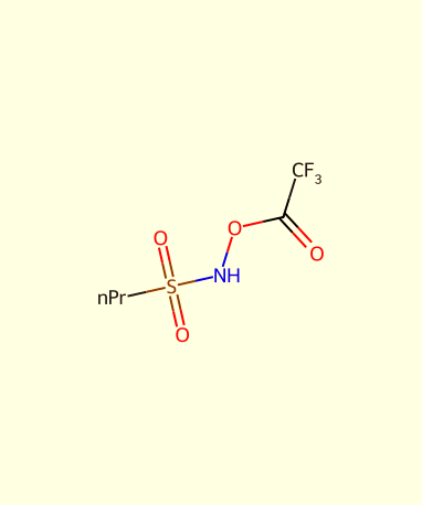 CCCS(=O)(=O)NOC(=O)C(F)(F)F